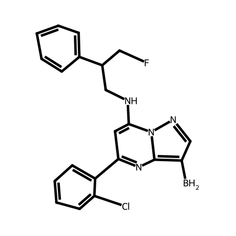 Bc1cnn2c(NCC(CF)c3ccccc3)cc(-c3ccccc3Cl)nc12